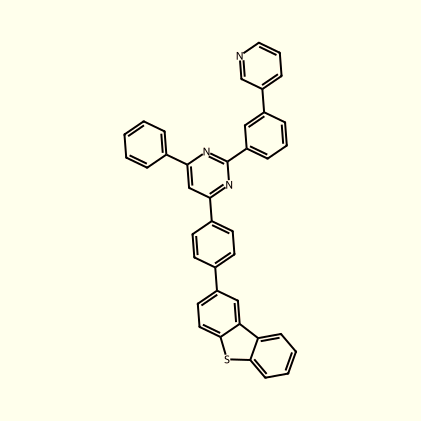 c1ccc(-c2cc(-c3ccc(-c4ccc5sc6ccccc6c5c4)cc3)nc(-c3cccc(-c4cccnc4)c3)n2)cc1